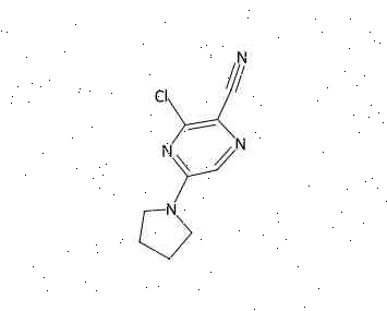 N#Cc1ncc(N2CCCC2)nc1Cl